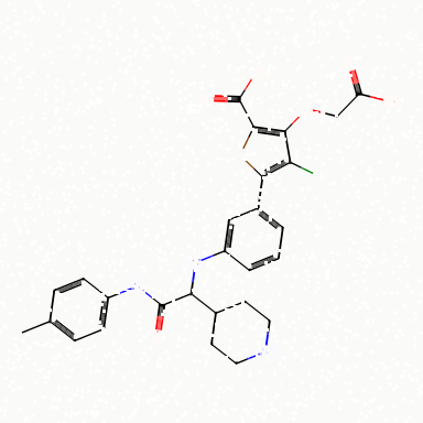 Cc1ccc(NC(=O)C(Nc2cccc(-c3sc(C(=O)O)c(OCC(=O)O)c3Cl)c2)C2CCNCC2)cc1